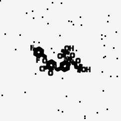 CC(C)(O)CC(=O)n1c(=O)n(C(=O)C(C)(C)O)c2cc(Cn3ccc(OCc4ccc(F)cc4F)c(Cl)c3=O)ccc21